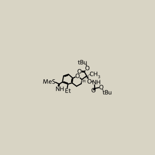 CCc1c(C(=N)SC)ccc2c1CC[C@H]([C@](C)(ONC(=O)OC(C)(C)C)C(=O)OC(C)(C)C)O2